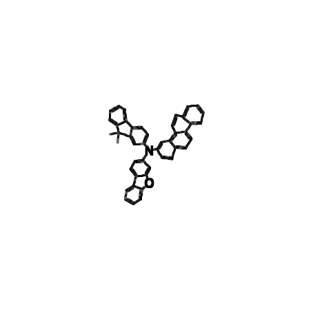 CC1(C)c2ccccc2-c2ccc(N(c3ccc4c(c3)oc3ccccc34)c3ccc4ccc5c6ccccc6ccc5c4c3)cc21